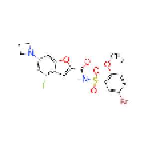 O=C(NS(=O)(=O)c1cc(Br)ccc1OC(F)(F)F)c1cc2c(F)cc(N3CCC3)cc2o1